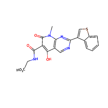 Cn1c(=O)c(C(=O)NCC(=O)O)c(O)c2cnc(-c3csc4ccccc34)nc21